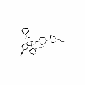 CCCN1CCN(C2CCN(C(=O)NC3(c4cccnc4OCC)C(=O)N(S(=O)(=O)c4ccccc4)c4ccc(C#N)cc43)CC2)CC1